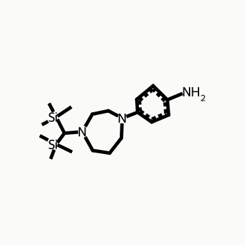 C[Si](C)(C)C(N1CCCN(c2ccc(N)cc2)CC1)[Si](C)(C)C